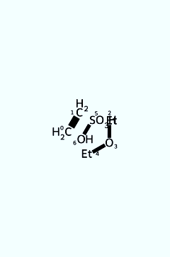 C=C.CCOCC.O=S(=O)(O)O